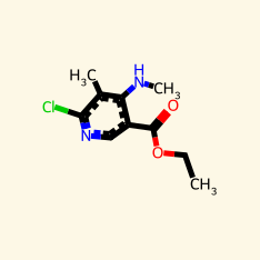 CCOC(=O)c1cnc(Cl)c(C)c1NC